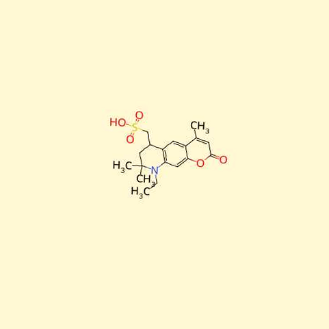 CCN1c2cc3oc(=O)cc(C)c3cc2C(CS(=O)(=O)O)CC1(C)C